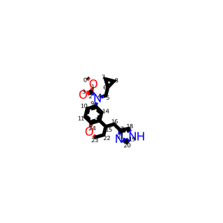 COC(=O)N(CC1CC1)c1ccc2c(c1)C(Cc1c[nH]cn1)CCO2